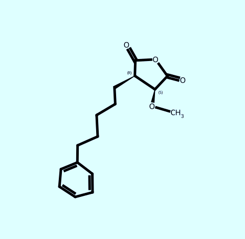 CO[C@@H]1C(=O)OC(=O)[C@@H]1CCCCCc1ccccc1